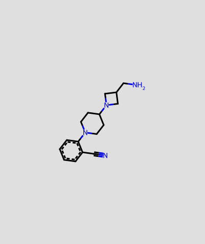 N#Cc1ccccc1N1CCC(N2CC(CN)C2)CC1